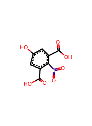 O=C(O)c1cc(O)cc(C(=O)O)c1I(=O)=O